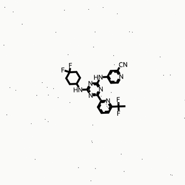 CC(F)(F)c1cccc(-c2nc(Nc3ccnc(C#N)c3)nc(NC3CCC(F)(F)CC3)n2)n1